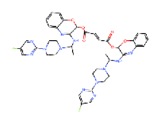 CC(NC1=Nc2ccccc2OC1OC(=O)/C=C/C(=O)OC1Oc2ccccc2N=C1NC(C)N1CCN(c2ncc(F)cn2)CC1)N1CCN(c2ncc(F)cn2)CC1